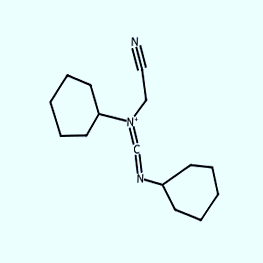 N#CC[N+](=C=NC1CCCCC1)C1CCCCC1